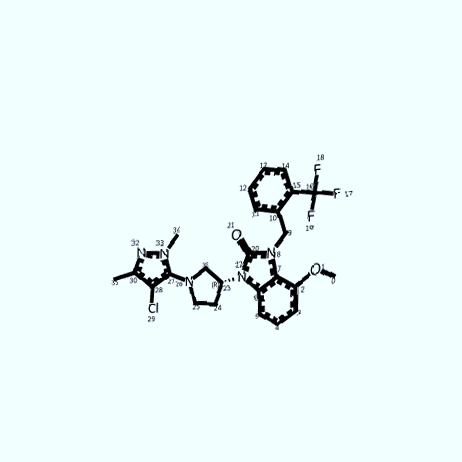 COc1cccc2c1n(Cc1ccccc1C(F)(F)F)c(=O)n2[C@@H]1CCN(c2c(Cl)c(C)nn2C)C1